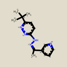 CC(=NNc1ccc(C(C)(C)C)nn1)c1cccnc1